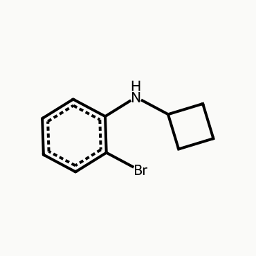 Brc1ccccc1NC1CCC1